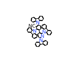 N#Cc1c(-n2c3ccccc3c3ccccc32)ccc(-c2ccc(-n3c4ccccc4c4ccccc43)nc2-n2c3ccccc3c3ccccc32)c1-n1c2ccccc2c2ccccc21